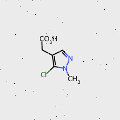 Cn1ncc(CC(=O)O)c1Cl